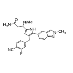 CNC(CC(N)=O)c1cc(Cc2ccc(C#N)c(F)c2)c(-c2ccc3nn(C)cc3c2)[nH]1